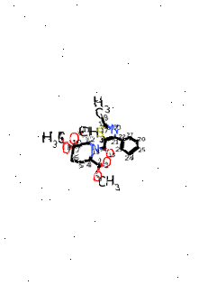 COC(=O)C1CCC(OC)(OC)CN1C(=O)c1sc(C)nc1-c1ccccc1